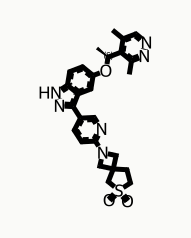 Cc1cnnc(C)c1[C@H](C)Oc1ccc2[nH]nc(-c3ccc(N4CC5(CCS(=O)(=O)C5)C4)nc3)c2c1